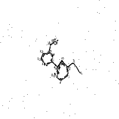 CCc1ccnc(-c2cc(CBr)ccn2)c1